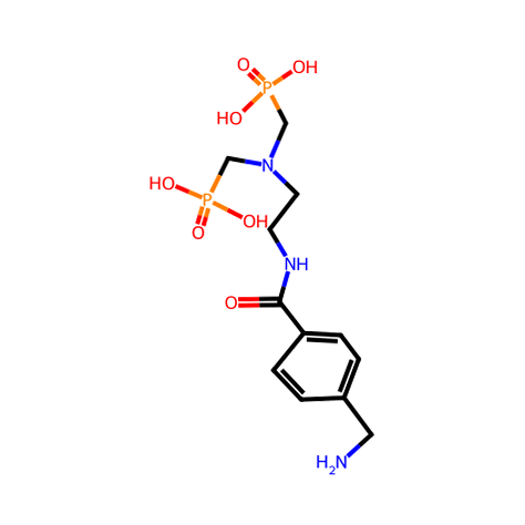 NCc1ccc(C(=O)NCCN(CP(=O)(O)O)CP(=O)(O)O)cc1